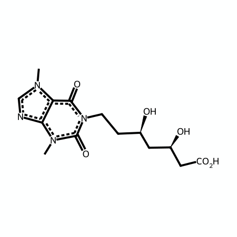 Cn1cnc2c1c(=O)n(CC[C@@H](O)C[C@@H](O)CC(=O)O)c(=O)n2C